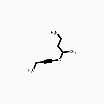 CCC#COC(C)CCN